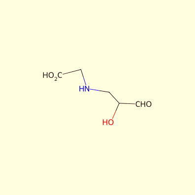 O=CC(O)CNCC(=O)O